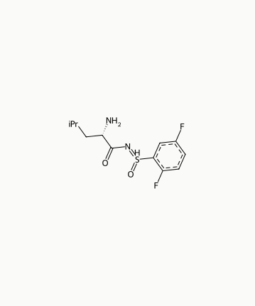 CC(C)C[C@H](N)C(=O)/N=[SH](=O)/c1cc(F)ccc1F